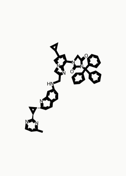 Cc1ccnc([C@H]2C[C@@H]2c2ccc3ccc(NCc4cn5cc(C6CC6)cc(N6CC(=O)N(C(c7ccccc7)(c7ccccc7)c7ccccc7)C6=O)c5n4)cc3n2)n1